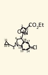 CCOC(=O)c1coc(C2CN(CC3CC3)c3ccc(Cl)cc32)n1